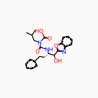 CC(C)CN(C(=O)O)C(=O)N[C@@H](CCc1ccccc1)C(O)c1nc2ccccc2o1